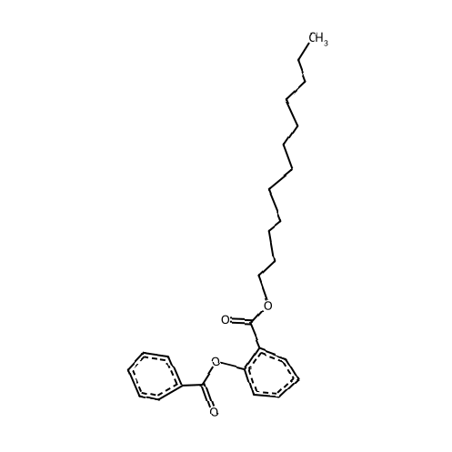 CCCCCCCCCCCCOC(=O)c1ccccc1OC(=O)c1ccccc1